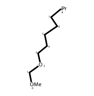 COCOCCCCCC(C)C